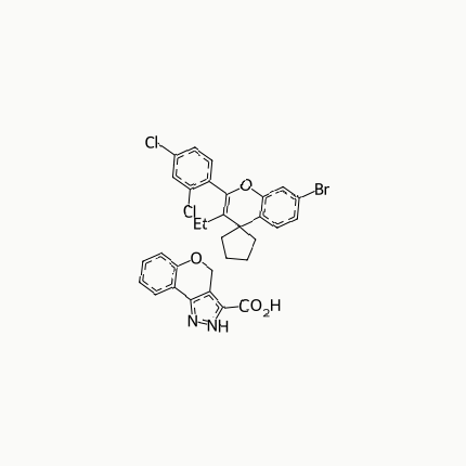 CCC1=C(c2ccc(Cl)cc2Cl)Oc2cc(Br)ccc2C12CCCC2.O=C(O)c1[nH]nc2c1COc1ccccc1-2